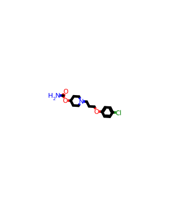 NC(=O)OC1CCN(CCCOc2ccc(Cl)cc2)CC1